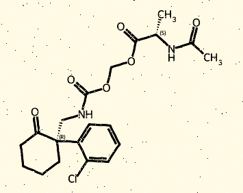 CC(=O)N[C@@H](C)C(=O)OCOC(=O)NC[C@]1(c2ccccc2Cl)CCCCC1=O